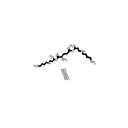 Cl.Cl.Cl.Cl.Cl.Cl.NCCCCNCCC(N)OC(=O)CC[C@H](N)C(=O)OC(N)CCNCCCCN